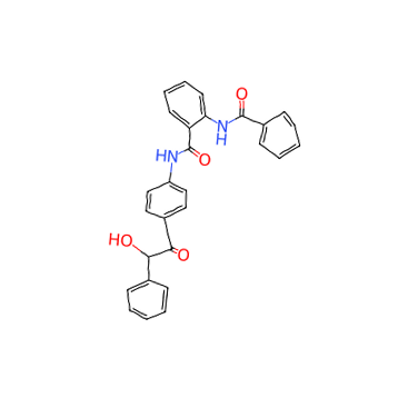 O=C(Nc1ccccc1C(=O)Nc1ccc(C(=O)C(O)c2ccccc2)cc1)c1ccccc1